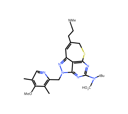 CNCCC1=Cc2nn(Cc3ncc(C)c(OC)c3C)c3nc(N(C(=O)O)C(C)(C)C)nc(c23)SC1